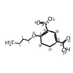 CCCCOC1=C([N+](=O)[O-])C=C(C(=O)O)CC1